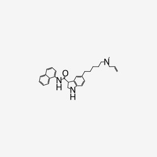 C=CCN(C)CCCCCc1ccc2c(c1)C(C(=O)Nc1cccc3ccccc13)CN2